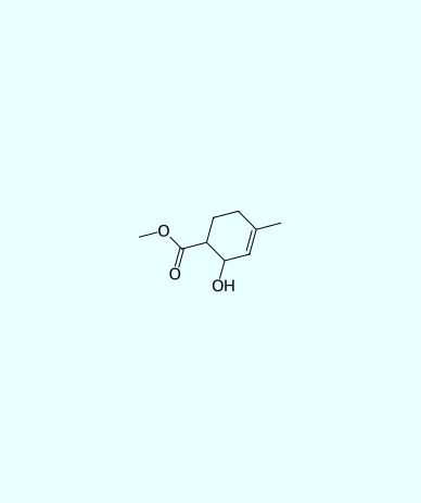 COC(=O)C1CCC(C)=CC1O